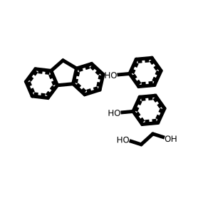 OCCO.Oc1ccccc1.Oc1ccccc1.c1ccc2c(c1)Cc1ccccc1-2